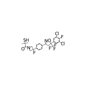 CC(C)(S)C(=O)N1CC(F)(c2ccc(C3=NOC(c4cc(Cl)c(F)c(Cl)c4)(C(F)(F)F)C3)cc2)C1